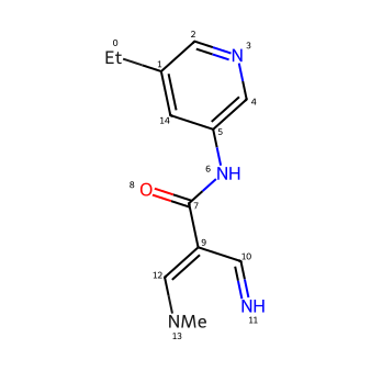 CCc1cncc(NC(=O)/C(C=N)=C/NC)c1